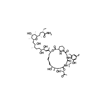 CC[C@@H](C[C@H](C)[C@H]1O[C@@H](C[C@H](O)[C@@H](C)CCC(O)C(O)/C=C(\C)[C@@H]2C/C=C/C=C/[C@H](O)[C@H](C)[C@@H](O)[C@@H](CCC(C)=O)C(=O)N[C@@H](C(C)C)C(=O)N[C@@H](Cc3cc(O)cc(F)c3)C(=O)N3CCCC(N3)C(=O)O2)[C@H](C)[C@H](O)[C@@H]1C)C(N)=O